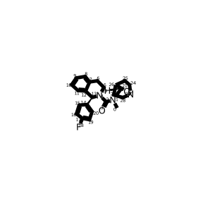 CN(C(=O)N1CCc2ccccc2[C@@H]1c1ccc(F)cc1)[C@H]1CN2CCC1CC2